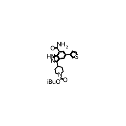 CC(C)COC(=O)N1CCC(c2n[nH]c3c(C(N)=O)cc(-c4ccsc4)cc23)CC1